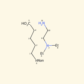 CCCCCCCCCCCCCC(=O)O.CCN(CC)CCN